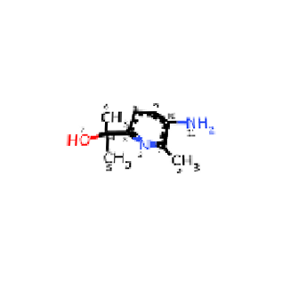 Cc1nc(C(C)(C)O)ccc1N